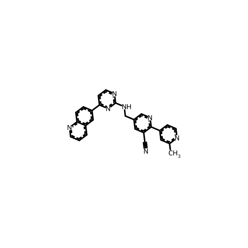 Cc1cc(-c2ncc(CNc3nccc(-c4ccc5ncccc5c4)n3)cc2C#N)ccn1